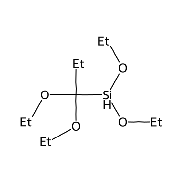 CCO[SiH](OCC)C(CC)(OCC)OCC